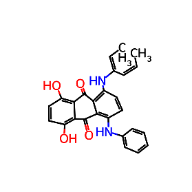 C/C=C\C(=C/C)Nc1ccc(Nc2ccccc2)c2c1C(=O)c1c(O)ccc(O)c1C2=O